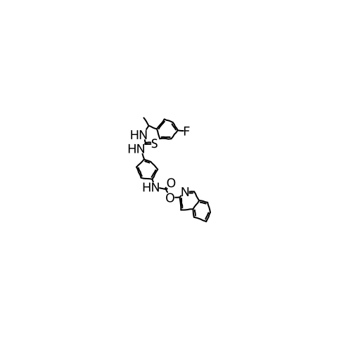 CC(NC(=S)Nc1ccc(NC(=O)Oc2cc3ccccc3cn2)cc1)c1ccc(F)cc1